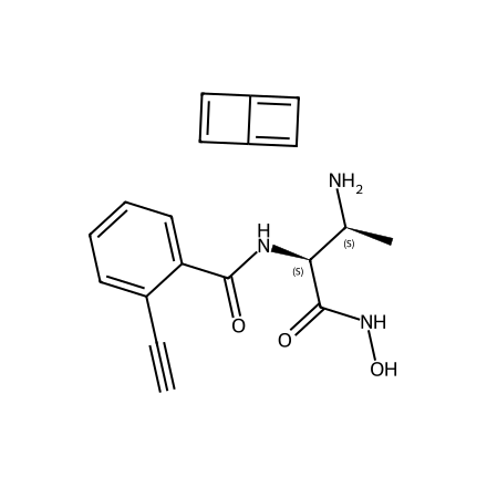 C#Cc1ccccc1C(=O)N[C@H](C(=O)NO)[C@H](C)N.c1cc2ccc1-2